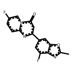 Cc1nc2c(F)cc(-c3cc(=O)n4cc(F)ccc4n3)cc2o1